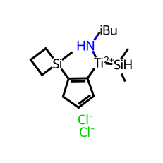 CCC(C)[NH][Ti+2]([C]1=C([Si]2(C)CCC2)CC=C1)[SiH](C)C.[Cl-].[Cl-]